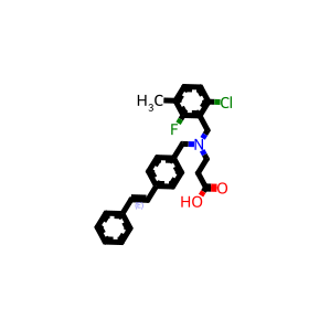 Cc1ccc(Cl)c(CN(CCC(=O)O)Cc2ccc(/C=C/c3ccccc3)cc2)c1F